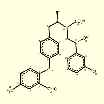 C[C@H](Cc1ccc(Sc2ccc(C(F)(F)F)cc2C=O)cc1)N(C[C@H](O)c1cccc(Cl)c1)C(=O)O